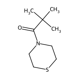 CC(C)(C)C(=O)N1CCSCC1